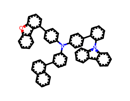 c1cc(-c2cccc3ccccc23)cc(N(c2ccc(-c3ccccc3-n3c4ccccc4c4ccccc43)cc2)c2ccc(-c3cccc4oc5ccccc5c34)cc2)c1